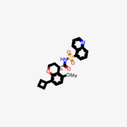 COc1ccc(C2CCC2)c2c1[C@@H](C(=O)NS(=O)(=O)c1cccc3ncccc13)CCO2